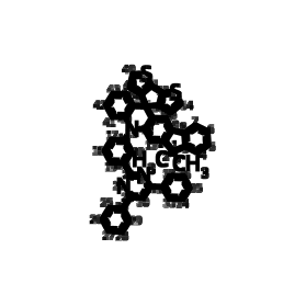 CC1(C)c2ccccc2-c2cc3c(cc21)N(c1cccc(-c2nc(-c4ccccc4)cc(-c4ccccc4)n2)c1)c1ccccc1C31c2ccsc2-c2sccc21